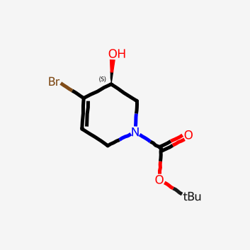 CC(C)(C)OC(=O)N1CC=C(Br)[C@@H](O)C1